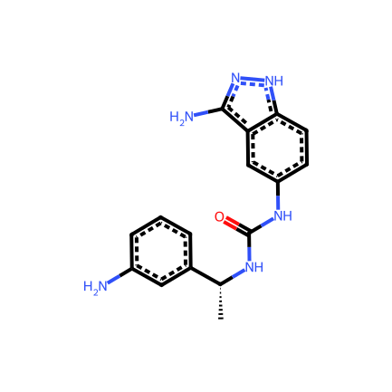 C[C@@H](NC(=O)Nc1ccc2[nH]nc(N)c2c1)c1cccc(N)c1